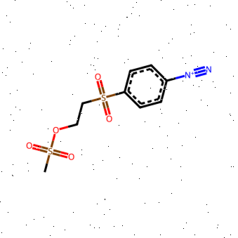 CS(=O)(=O)OCCS(=O)(=O)c1ccc([N+]#N)cc1